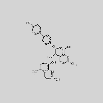 Cc1ccc2c(C(F)(F)F)ccc(O)c2n1.Cc1ccc2c(C(F)(F)F)ccc(O)c2n1.N#Cc1ccc(-c2ccc(O)cc2)cc1